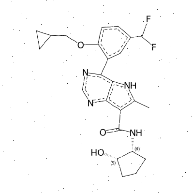 Cc1[nH]c2c(-c3cc(C(F)F)ccc3OCC3CC3)ncnc2c1C(=O)N[C@@H]1CCC[C@@H]1O